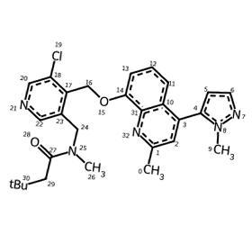 Cc1cc(-c2ccnn2C)c2cccc(OCc3c(Cl)cncc3CN(C)C(=O)CC(C)(C)C)c2n1